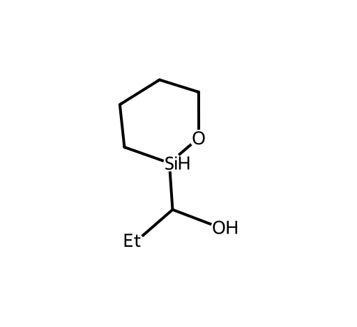 CCC(O)[SiH]1CCCCO1